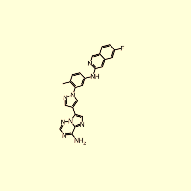 Cc1ccc(Nc2cc3cc(F)ccc3cn2)cc1-n1cc(-c2cnc3c(N)ncnn23)cn1